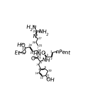 CCCCC/C=C/C(=O)N[C@@H](CC1=CCC(O)C=C1)C(=O)N[C@H](/C=C/C(O)OCC)CCCN=C(N)N